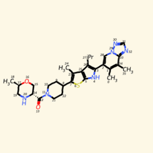 Cc1c(-c2[nH]c3sc(C4CCN(C(=O)[C@H]5CO[C@H](C)CN5)CC4)c(C)c3c2C(C)C)cn2ncnc2c1C